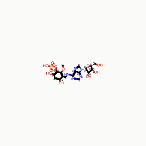 COc1c(CNc2ncnc3c2ncn3[C@@H]2O[C@H](CO)[C@@H](O)[C@H]2O)c(O)cc(O)c1OP(=O)(O)O